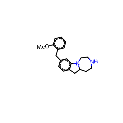 COc1ccccc1Cc1ccc2c(c1)N1CCNCCC1C2